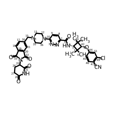 CC1(C)[C@H](NC(=O)c2ccc(N3CCN(Cc4ccc5c(c4)C(=O)N(C4CCC(=O)NC4=O)C5=O)CC3)nn2)C(C)(C)[C@H]1Oc1ccc(C#N)c(Cl)c1